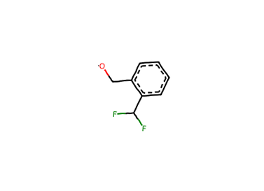 [O]Cc1ccccc1C(F)F